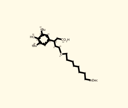 CCCCCCCCCCCCCCCCCCOCCC(CC(=O)O)c1cc(C(C)(C)C)c(O)c(C(C)(C)C)c1